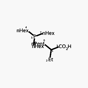 CCCCCC(CC)C(=O)O.CCCCCCP(CCCCCC)CCCCCC